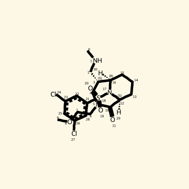 CNC[C@H]1CN(CCOC)C(=O)[C@@H]2CCC[C@H]1N2S(=O)(=O)c1cc(Cl)cc(Cl)c1